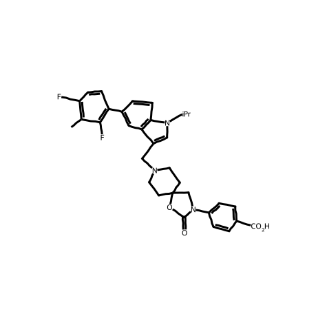 Cc1c(F)ccc(-c2ccc3c(c2)c(CN2CCC4(CC2)CN(c2ccc(C(=O)O)cc2)C(=O)O4)cn3C(C)C)c1F